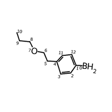 Bc1ccc(CCOCCC)cc1